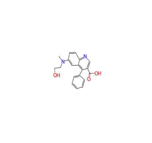 CN(CCO)c1ccc2ncc(C(=O)O)c(-c3ccccc3)c2c1